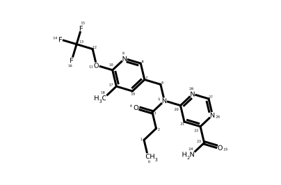 CCCC(=O)N(Cc1cnc(OCC(F)(F)F)c(C)c1)c1cc(C(N)=O)ncn1